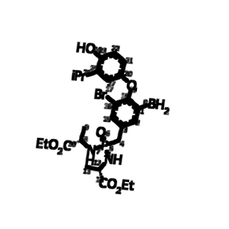 Bc1cc(CP(=O)(N[C@@H](C)C(=O)OCC)N[C@@H](C)C(=O)OCC)cc(Br)c1Oc1ccc(O)c(C(C)C)c1